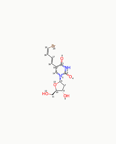 O=c1[nH]c(=O)n([C@H]2C[C@H](O)[C@@H](CO)O2)cc1/C=C/C=C\Br